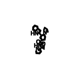 O=S(=O)(NC1(c2ccccn2)CC1)c1ccc(N2CCCC2)c(-c2cc3ccccc3[nH]2)c1